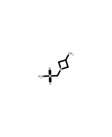 CC1CN(CS(N)(=O)=O)C1